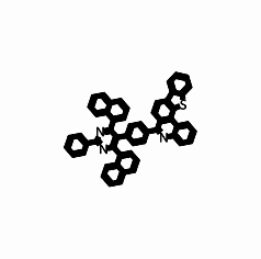 c1ccc(-c2nc(-c3cccc4ccccc34)c(-c3ccc(-c4nc5ccccc5c5c4ccc4c6ccccc6sc45)cc3)c(-c3cccc4ccccc34)n2)cc1